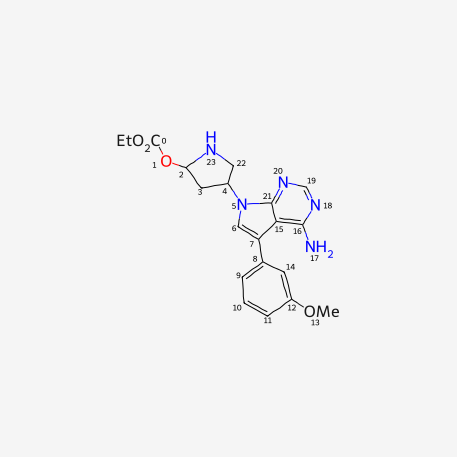 CCOC(=O)OC1CC(n2cc(-c3cccc(OC)c3)c3c(N)ncnc32)CN1